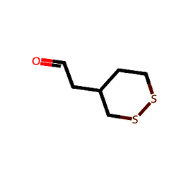 O=CCC1CCSSC1